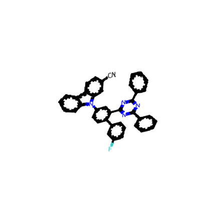 N#Cc1ccc2c3ccccc3n(-c3ccc(-c4cccc(F)c4)c(-c4nc(-c5ccccc5)nc(-c5ccccc5)n4)c3)c2c1